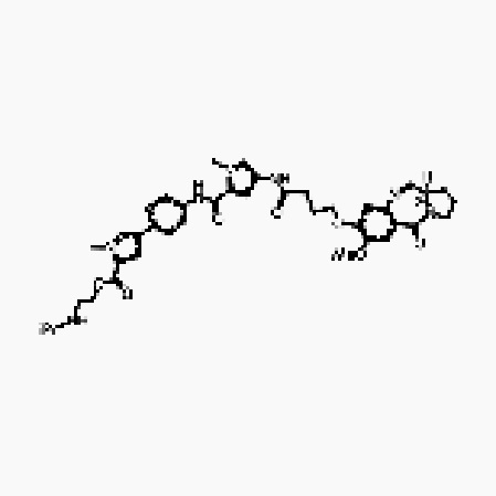 COc1cc2c(cc1OCCCC(=O)Nc1cc(C(=O)Nc3ccc(-c4cc(C(=O)OCCNC(C)C)n(C)c4)cc3)n(C)c1)N=C[C@@H]1CCCN1C2=O